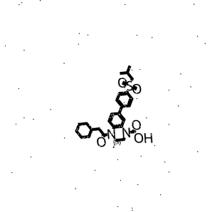 CC(C)CS(=O)(=O)c1ccc(-c2ccc3c(c2)N(C(=O)O)C[C@H](C)N3C(=O)CC2CCCCC2)cc1